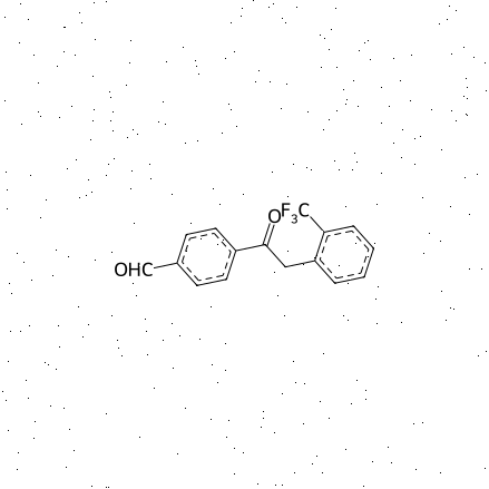 O=Cc1ccc(C(=O)Cc2ccccc2C(F)(F)F)cc1